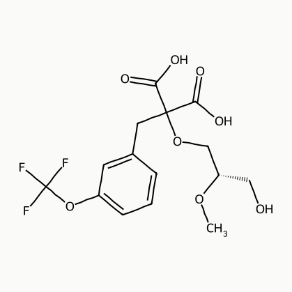 CO[C@@H](CO)COC(Cc1cccc(OC(F)(F)F)c1)(C(=O)O)C(=O)O